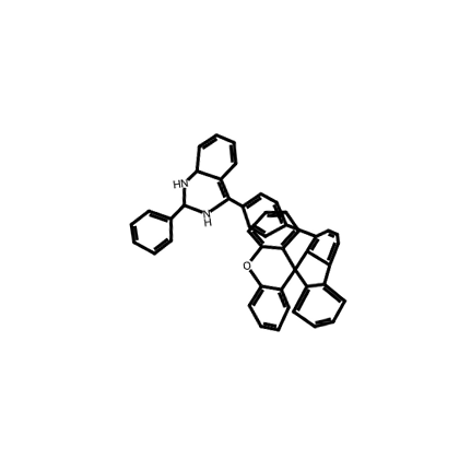 C1=CC2=C(c3ccc(-c4cccc5c4C4(c6ccccc6Oc6ccccc64)c4ccccc4-5)cc3)NC(c3ccccc3)NC2C=C1